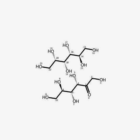 O=C(CO)[C@@H](O)[C@H](O)[C@H](O)CO.OC[C@@H](O)[C@@H](O)[C@H](O)[C@@H](O)CO